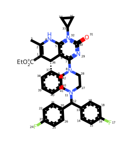 CCOC(=O)C1=C(C)Nc2c(c(N3CCN(C(c4ccc(F)cc4)c4ccc(F)cc4)CC3)nc(=O)n2C2CC2)[C@@H]1c1ccccc1